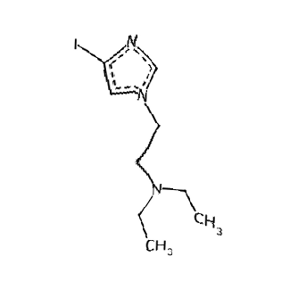 CCN(CC)CCn1cnc(I)c1